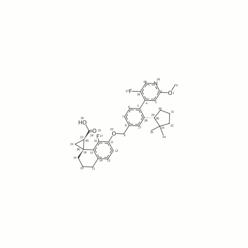 COc1cc(-c2ccc(COc3ccc4c(c3F)[C@]3(CCC4)C[C@H]3C(=O)O)cc2[C@@H]2CCCC2(C)C)c(F)cn1